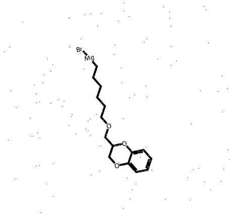 [Br][Mg][CH2]CCCCCOCC1COc2ccccc2O1